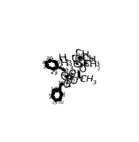 C[C@@H](CO[Si](C)(C)C(C)(C)C)OP(=O)(OCc1ccccc1)OCc1ccccc1